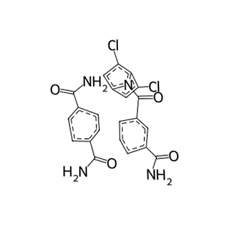 NC(=O)c1ccc(C(N)=O)cc1.NC(=O)c1cccc(C(=O)n2c3cc(Cl)c2c(Cl)c3)c1